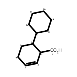 O=C(O)C1C=CCCC1C1CCCCC1